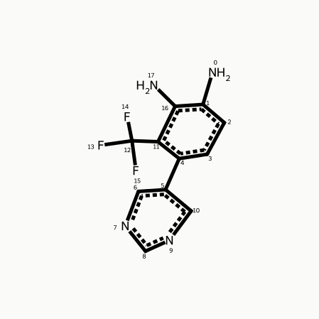 Nc1ccc(-c2cncnc2)c(C(F)(F)F)c1N